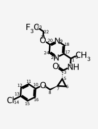 CC(NC(=O)[C@@H]1C[C@H]1COc1ccc(Cl)cc1)c1cnc(OCC(F)(F)F)cn1